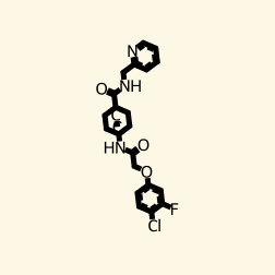 O=C(COc1ccc(Cl)c(F)c1)NC12CCC(C(=O)NCc3ccccn3)(CC1)CC2